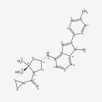 CCn1c(-c2cnc(C)nc2)nc2c(N[C@@H]3CN(C(=O)C4CC4)[C@@](C)(C(=O)O)C3)ncnc21